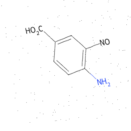 Nc1ccc(C(=O)O)cc1N=O